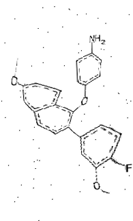 COc1ccc2c(Oc3ccc(N)cc3)c(-c3ccc(F)c(OC)c3)ccc2c1